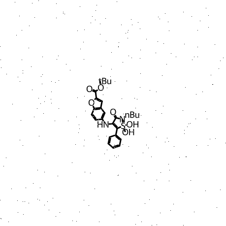 CCCCN1C(=O)C(Nc2ccc3oc(C(=O)OC(C)(C)C)cc3c2)=C(c2ccccc2)S1(O)O